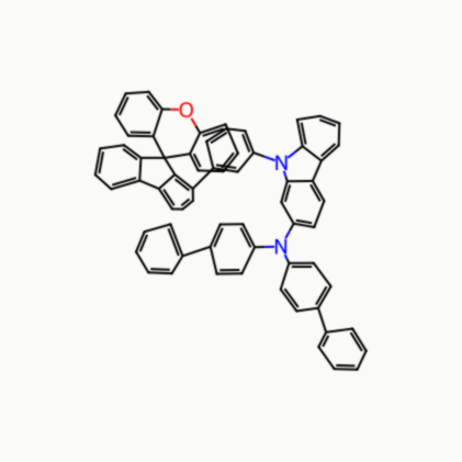 c1ccc(-c2ccc(N(c3ccc(-c4ccccc4)cc3)c3ccc4c5ccccc5n(-c5cccc(-c6cccc7c6C6(c8ccccc8Oc8ccccc86)c6ccccc6-7)c5)c4c3)cc2)cc1